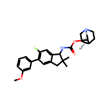 COc1cccc(-c2cc3c(cc2F)C(NC(=O)O[C@H]2CN4CCC2CC4)C(C)(C)C3)c1